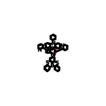 c1ccc(N2c3ccccc3[Si]3(c4ccccc42)c2cc(-c4ccccn4)ccc2N(c2cc4c5c(c2)Sc2ccccc2B5c2ccccc2S4)c2ccc(-c4ccccn4)cc23)cc1